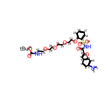 CN(C)c1ccc2cc(C(=O)NS(=O)(=O)c3ccccc3OCCOCCOCCOCCNC(=O)OC(C)(C)C)oc2c1